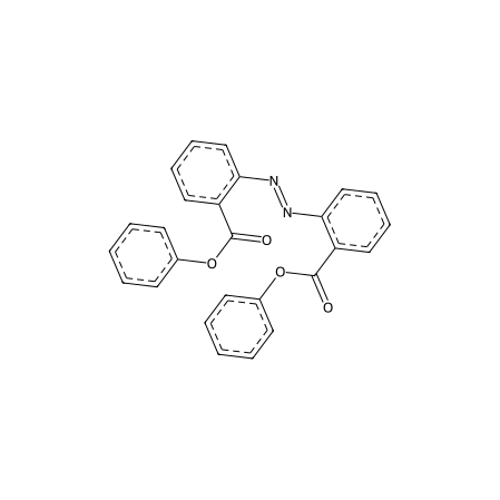 O=C(Oc1ccccc1)c1ccccc1N=Nc1ccccc1C(=O)Oc1ccccc1